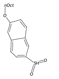 CCCCCCCCOc1ccc2cc([SH](=O)=O)ccc2c1